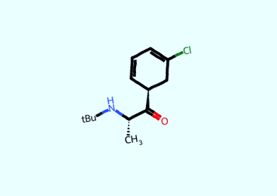 C[C@H](NC(C)(C)C)C(=O)[C@H]1C=CC=C(Cl)C1